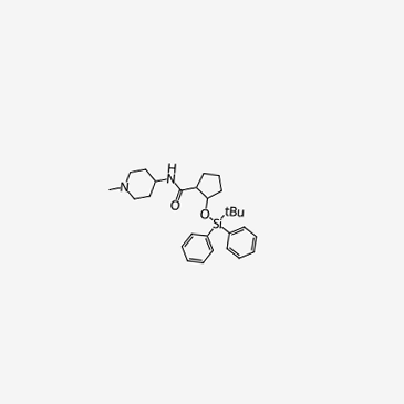 CN1CCC(NC(=O)C2CCCC2O[Si](c2ccccc2)(c2ccccc2)C(C)(C)C)CC1